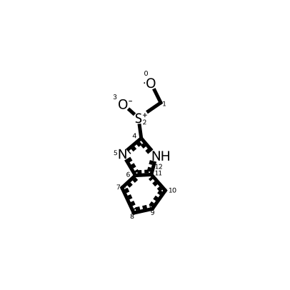 [O]C[S+]([O-])c1nc2ccccc2[nH]1